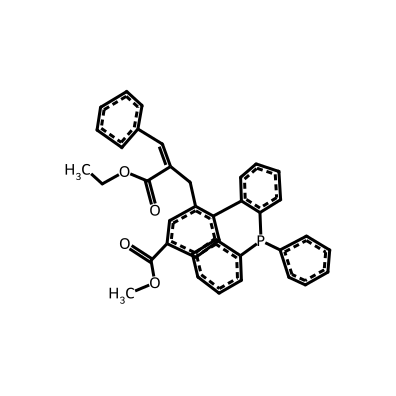 CCOC(=O)C(=Cc1ccccc1)Cc1cc(C(=O)OC)ccc1-c1ccccc1P(c1ccccc1)c1ccccc1